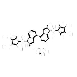 CC1=Cc2c(-c3cccc4c3C=C(C(C)C)C4[Si](C)(C)C3C(C)=C(C)C(C)=C3C)cccc2C1[Si](C)(C)C1C(C)=C(C)C(C)=C1C.[Cl][Zr][Cl].[Cl][Zr][Cl]